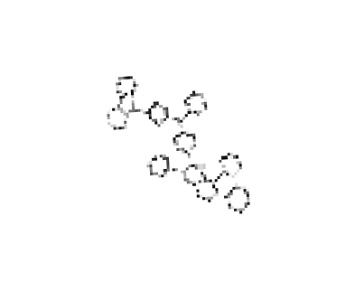 c1ccc(-c2ccccc2-c2cccc3nc(-c4ccccc4)c(-c4ccc(N(c5ccccc5)c5ccc(-n6c7ccccc7c7ccccc76)cc5)cc4)nc23)cc1